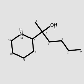 CCCCC(C)(O)C1CCCCN1